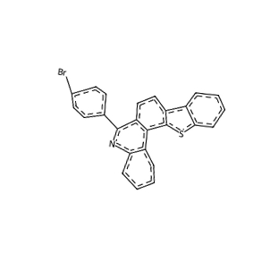 Brc1ccc(-c2nc3ccccc3c3c2ccc2c4ccccc4sc23)cc1